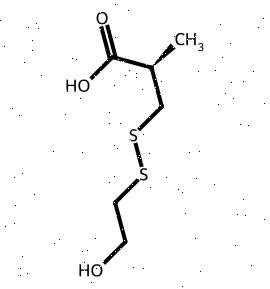 C[C@@H](CSSCCO)C(=O)O